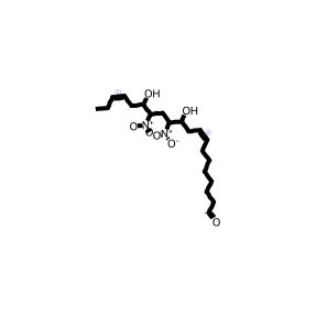 CC/C=C\CC(O)C(CC(C(O)C/C=C\CCCCCC[C]=O)[N+](=O)[O-])[N+](=O)[O-]